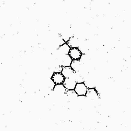 Cc1ccc(NC(=O)c2cccc(C(F)(F)F)c2)cc1OC1CCN(C=O)CC1